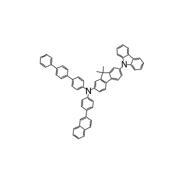 CC1(C)c2cc(N(c3ccc(-c4ccc(-c5ccccc5)cc4)cc3)c3ccc(-c4ccc5ccccc5c4)cc3)ccc2-c2ccc(-n3c4ccccc4c4ccccc43)cc21